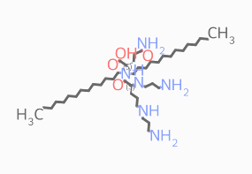 CCCCCCCCCCCCCC[N+](CCCCCCCCCCCCCC)(C(=O)[C@H](CCCNCCCN)NCCCN)[C@@H](CCC(N)=O)C(=O)O